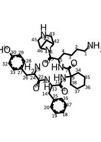 NCCCCC(NC(=O)C1(NC(=O)C(Cc2ccccc2)NC(=O)C(N)Cc2ccc(O)cc2)CCCCC1)C(=O)N1C2CNCC1C2